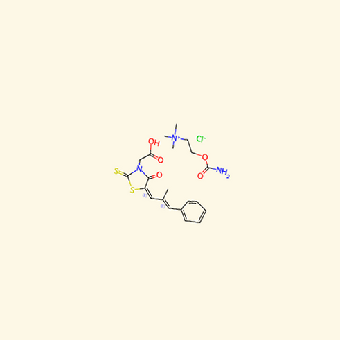 CC(=C\c1ccccc1)/C=C1/SC(=S)N(CC(=O)O)C1=O.C[N+](C)(C)CCOC(N)=O.[Cl-]